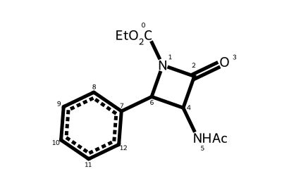 CCOC(=O)N1C(=O)C(NC(C)=O)C1c1ccccc1